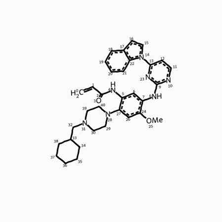 C=CC(=O)Nc1cc(Nc2nccc(-n3ccc4ccccc43)n2)c(OC)cc1N1CCN(CC2CCCCC2)CC1